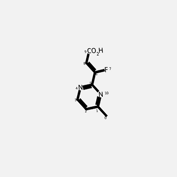 Cc1ccnc(/C(F)=C/C(=O)O)n1